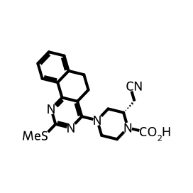 CSc1nc2c(c(N3CCN(C(=O)O)[C@@H](CC#N)C3)n1)CCc1ccccc1-2